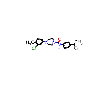 Cc1ccc(N2CCN(C(=O)Nc3ccc(C(C)C)cc3)CC2)cc1Cl